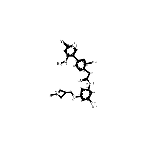 CCOc1cc(=O)[nH]cc1-c1ccc(CC(=O)Nc2cc(OCC3CN(C)C3)cc(C(F)(F)F)c2)c(F)c1